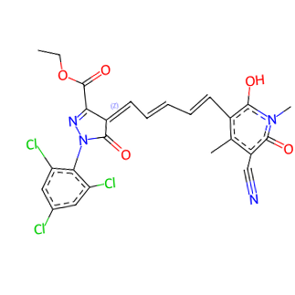 CCOC(=O)C1=NN(c2c(Cl)cc(Cl)cc2Cl)C(=O)/C1=C\C=CC=Cc1c(C)c(C#N)c(=O)n(C)c1O